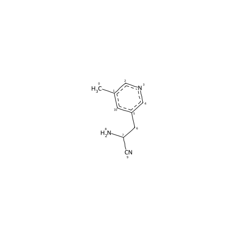 Cc1cncc(CC(N)C#N)c1